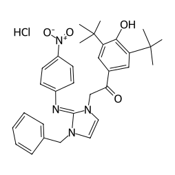 CC(C)(C)c1cc(C(=O)Cn2ccn(Cc3ccccc3)c2=Nc2ccc([N+](=O)[O-])cc2)cc(C(C)(C)C)c1O.Cl